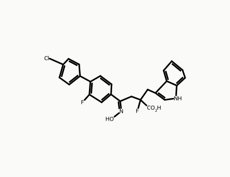 O=C(O)C(F)(CC(=NO)c1ccc(-c2ccc(Cl)cc2)c(F)c1)Cc1c[nH]c2ccccc12